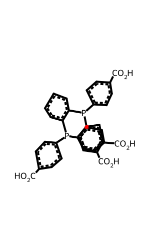 O=C(O)c1ccc(P(c2ccc(C(=O)O)cc2)c2ccccc2P(c2ccc(C(=O)O)cc2)c2ccc(C(=O)O)cc2)cc1